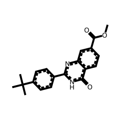 COC(=O)c1ccc2c(=O)[nH]c(-c3ccc(C(C)(C)C)cc3)nc2c1